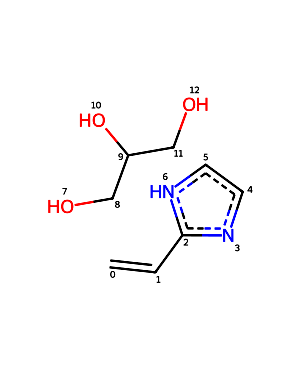 C=Cc1ncc[nH]1.OCC(O)CO